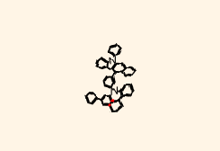 C1=CC2=Cc3c(c4ccccc4n3-c3ccccc3)C(c3cccc(N(c4cccc(-c5ccccc5)c4)c4ccccc4-c4ccccc4)c3)C2C=C1